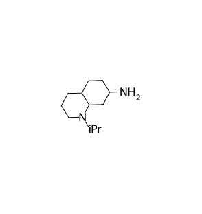 CC(C)N1CCCC2CCC(N)CC21